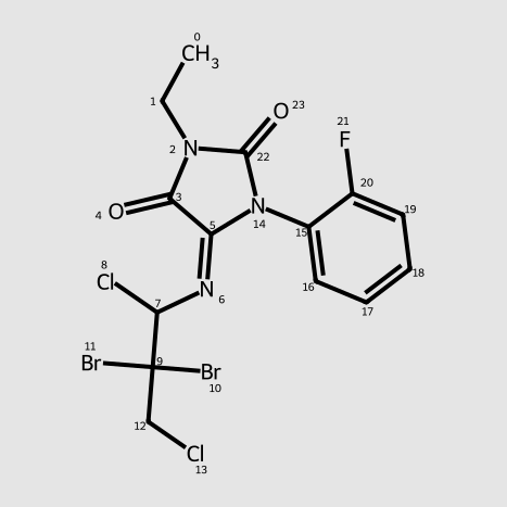 CCN1C(=O)C(=NC(Cl)C(Br)(Br)CCl)N(c2ccccc2F)C1=O